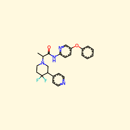 CC(C(=O)Nc1ccc(Oc2ccccc2)cn1)N1CCC(F)(F)C(c2ccncc2)C1